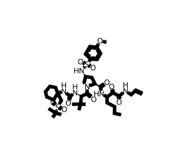 C=CCNC(=O)C(=O)C(CCCC)NC(=O)[C@@H]1C[C@@H](NS(=O)(=O)c2ccc(OC)cc2)CN1C(=O)[C@@H](NC(=O)NC1(CS(=O)(=O)C(C)(C)C)CCCCC1)C(C)(C)C